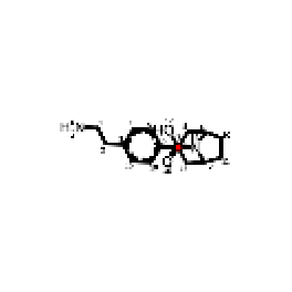 NCCc1ccc(C2CC3CCC(C2)N3C(=O)O)cc1